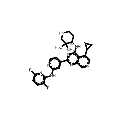 CC1(C)CNCC[C@@H]1Nc1nc(-c2ccnc(Nc3nc(F)ccc3F)c2)nc2cncc(C3CC3)c12